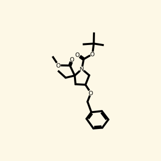 CCC1(C(=O)OC)CC(OCc2ccccc2)CN1C(=O)OC(C)(C)C